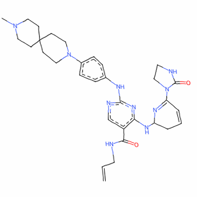 C=CCNC(=O)c1cnc(Nc2ccc(N3CCC4(CCN(C)CC4)CC3)cc2)nc1NC1CC=CC(N2CCNC2=O)=N1